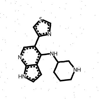 c1cc2c(NC3CCCNC3)c(-c3cscn3)cnc2[nH]1